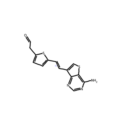 Nc1ncnc2c(/C=C/c3ccc(CC=O)s3)csc12